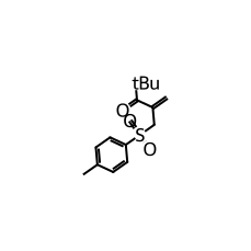 C=C(CS(=O)(=O)c1ccc(C)cc1)C(=O)C(C)(C)C